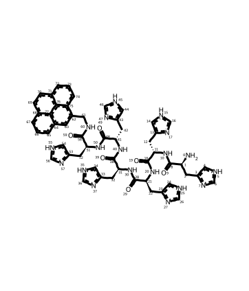 N[C@@H](Cc1c[nH]cn1)C(=O)N[C@@H](Cc1c[nH]cn1)C(=O)N[C@@H](Cc1c[nH]cn1)C(=O)N[C@@H](Cc1c[nH]cn1)C(=O)N[C@@H](Cc1c[nH]cn1)C(=O)N[C@@H](Cc1c[nH]cn1)C(=O)NCc1cc2cccc3ccc4cccc1c4c32